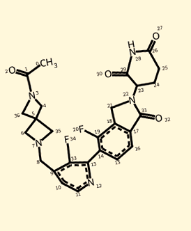 CC(=O)N1CC2(CN(Cc3ccnc(-c4ccc5c(c4F)CN(C4CCC(=O)NC4=O)C5=O)c3F)C2)C1